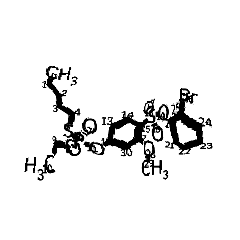 CCCCCSP(=O)(OCC)Oc1ccc(S(=O)(=O)Oc2ccccc2Br)c(OC)c1